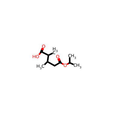 CC(C)OC(=O)CC(C)C(C)C(=O)O